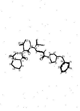 C/C(=C\[C@H](C(C)C)N(C)C(=O)[C@@H](NC(=O)[C@H]1CCCCN1C(C)C)C(C)C)C(=O)N1CCC(Cc2ccccc2)CC1